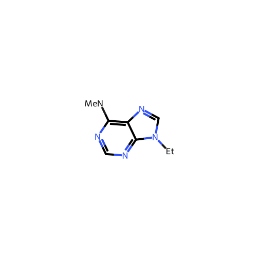 CCn1cnc2c(NC)ncnc21